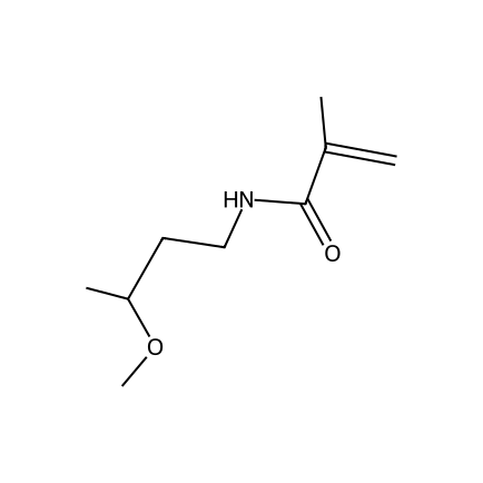 C=C(C)C(=O)NCCC(C)OC